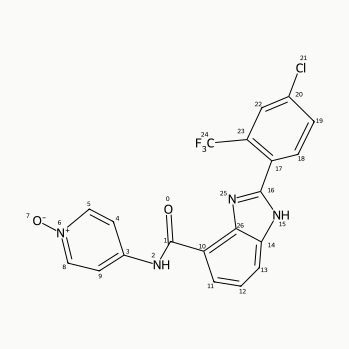 O=C(Nc1cc[n+]([O-])cc1)c1cccc2[nH]c(-c3ccc(Cl)cc3C(F)(F)F)nc12